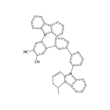 CC1CC=Cc2c1c1ccccc1n2-c1cccc(-c2cccc(-c3cc(C#N)c(C#N)cc3-n3c4ccccc4c4ccccc43)c2)c1